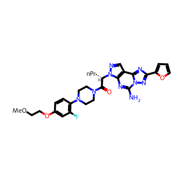 CCC[C@@H](C(=O)N1CCN(c2ccc(OCCOC)cc2F)CC1)n1ncc2c1nc(N)n1nc(-c3ccco3)nc21